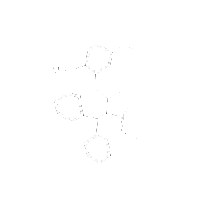 COc1ccc(OC(F)(F)F)cc1CC1CCN(N)C1C(c1ccccc1)c1ccccc1